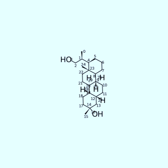 C[C@H](CO)[C@H]1CCC[C@H]2[C@@H]3CC[C@@H]4C[C@](C)(O)CC[C@@H]4[C@H]3CC[C@]12C